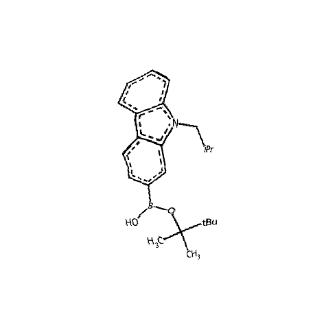 CC(C)Cn1c2ccccc2c2ccc(B(O)OC(C)(C)C(C)(C)C)cc21